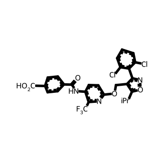 CC(C)c1onc(-c2c(Cl)cccc2Cl)c1COc1ccc(NC(=O)c2ccc(C(=O)O)cc2)c(C(F)(F)F)n1